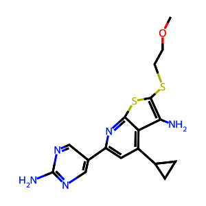 COCCSc1sc2nc(-c3cnc(N)nc3)cc(C3CC3)c2c1N